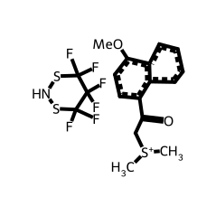 COc1ccc(C(=O)C[S+](C)C)c2ccccc12.FC1(F)SNSC(F)(F)C1(F)F